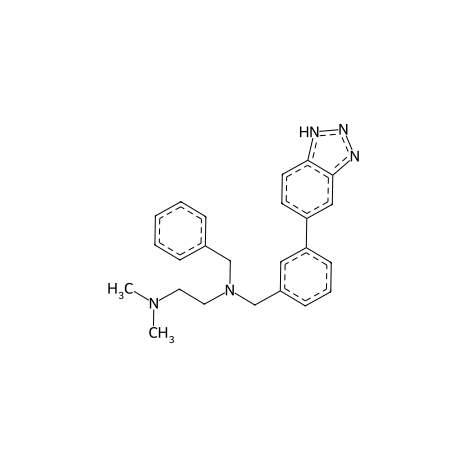 CN(C)CCN(Cc1ccccc1)Cc1cccc(-c2ccc3[nH]nnc3c2)c1